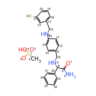 CS(=O)(=O)O.NC(=O)C(NCc1ccc(NCc2cccc(F)c2)cc1)c1ccccc1